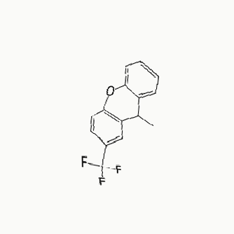 CC1c2ccccc2Oc2ccc(C(F)(F)F)cc21